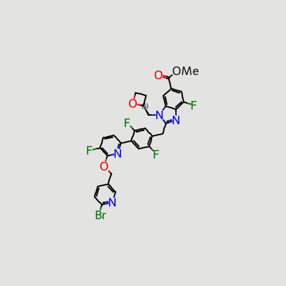 COC(=O)c1cc(F)c2nc(Cc3cc(F)c(-c4ccc(F)c(OCc5ccc(Br)nc5)n4)cc3F)n(C[C@@H]3CCO3)c2c1